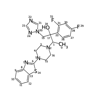 CC(N1CCN(c2nc3ccccc3s2)CC1)C(O)(Cn1cncn1)c1ccc(F)cc1F